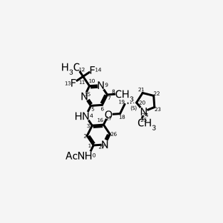 CC(=O)Nc1cc(Nc2cc(C)nc(C(C)(F)F)n2)c(OCC[C@@H]2CCCN2C)cn1